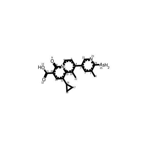 Cc1cc(-c2ccn3c(=O)c(C(=O)O)cc(C4CC4)c3c2C)cnc1[AsH2]